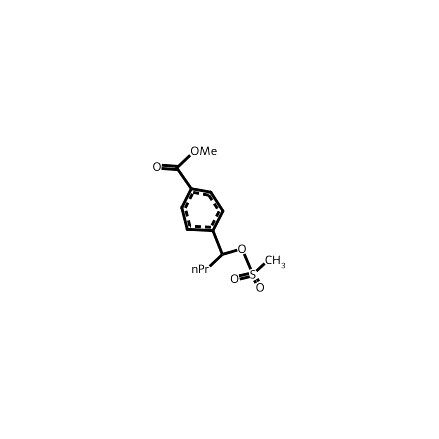 CCCC(OS(C)(=O)=O)c1ccc(C(=O)OC)cc1